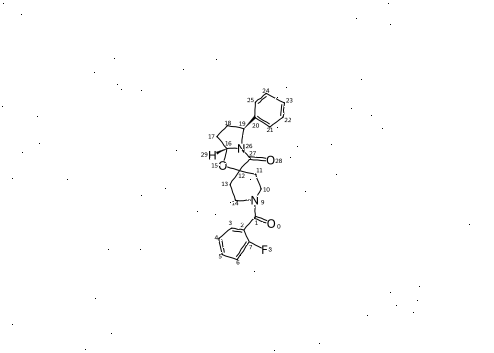 O=C(c1ccccc1F)N1CCC2(CC1)O[C@@H]1CC[C@@H](c3ccccc3)N1C2=O